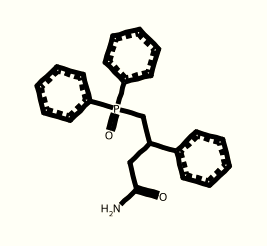 NC(=O)CC(CP(=O)(c1ccccc1)c1ccccc1)c1ccccc1